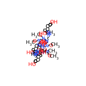 CCN(CCOC)C(=O)CN(CCCn1cc(C2(O)CCC3C4CCc5cc(O)ccc5C4CCC32C)nn1)C(=O)CN(CCOC)C(=O)CN(CCOC)C(=O)CN(CCCn1cc(C2(O)CCC3C4CCc5cc(O)ccc5C4CCC32C)nn1)C(=O)CN(CCOC)C(=O)CN(CCOC)C(=O)CNCCCn1cc(C2(O)CCC3C4CCc5cc(O)ccc5C4CCC32C)nn1